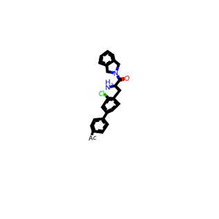 CC(=O)c1ccc(-c2ccc(CC(N)C(=O)N3Cc4ccccc4C3)c(Cl)c2)cc1